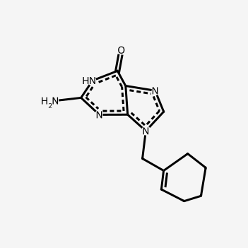 Nc1nc2c(ncn2CC2=CCCCC2)c(=O)[nH]1